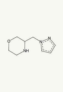 c1cnn(CC2COCCN2)c1